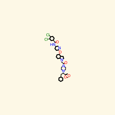 O=C(Nc1ccc(Oc2cccc3c2ccn3CC(=O)N2CCN(C(Cc3ccccc3)C3=COCO3)CC2)nc1)c1ccc(Cl)c(Cl)c1